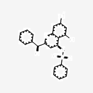 O=C(c1ccccc1)c1cc(=NS(=O)(=O)c2ccccc2)c2c(Cl)cc(Cl)cc2s1